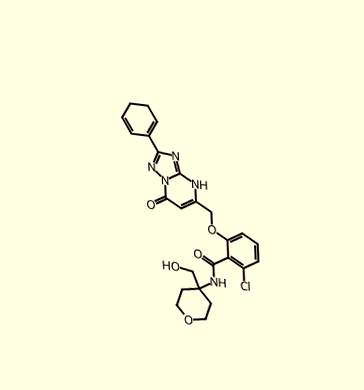 O=C(NC1(CO)CCOCC1)c1c(Cl)cccc1OCc1cc(=O)n2nc(C3=CCCC=C3)nc2[nH]1